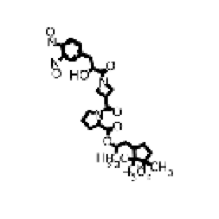 CC(CC1CCC(C)(C)C1(C)C)OC(=O)C1CCCN1C(=O)C1CN(C(=O)C(O)Cc2ccc(N=O)c(N=O)c2)C1